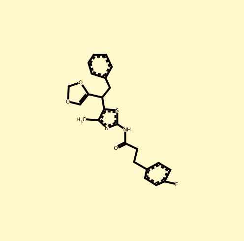 Cc1nc(NC(=O)CCc2ccc(F)cc2)sc1C(Cc1ccccc1)C1=COCO1